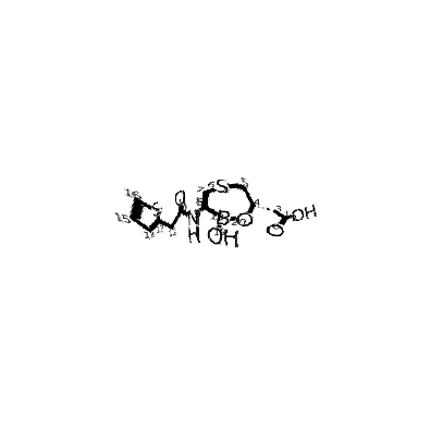 O=C(O)C[C@H]1CSC[C@H](NC(=O)Cc2cccs2)B(O)O1